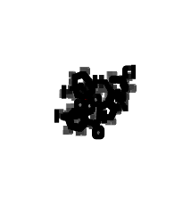 CC(C)(C)OC(=O)N1[C@@H]2CC[C@H]1C[C@H](Oc1cc(F)ccc1C(=O)N1Cc3nn4cc(Cl)cnc4c3C1)C2